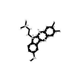 COc1ccc2c(c1)c1nc3cc(C)c(C)cc3nc1n2CCN(C)C